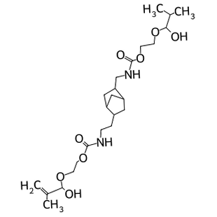 C=C(C)C(O)OCCOC(=O)NCCC1CC2CC1CC2CNC(=O)OCCOC(O)C(C)C